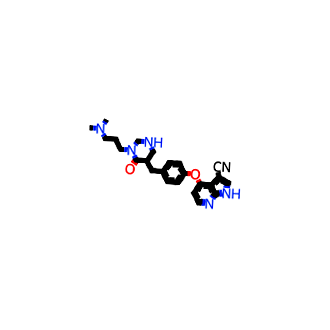 CN(C)CCCN1CNCC(Cc2ccc(Oc3ccnc4[nH]cc(C#N)c34)cc2)C1=O